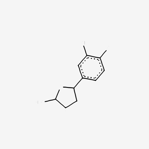 CC1CCC(c2ccc(Cl)c(Cl)c2)O1